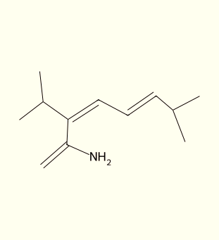 C=C(N)/C(=C\C=CC(C)C)C(C)C